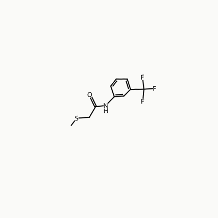 CSCC(=O)Nc1cccc(C(F)(F)F)c1